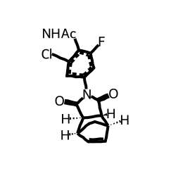 CC(=O)Nc1c(F)cc(N2C(=O)[C@@H]3[C@H](C2=O)[C@@H]2C=C[C@H]3CC2)cc1Cl